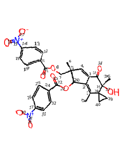 CC1=C2C(=C[C@@](C)(COC(=O)c3ccc([N+](=O)[O-])cc3)C2OC(=O)c2ccc([N+](=O)[O-])cc2)C(=O)[C@](C)(O)C12CC2